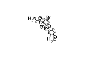 COc1ccc(COc2cc(Br)cc(OC(=O)CN)c2[N+](=O)[O-])cc1